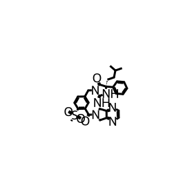 CC(C)CC[C@]1(c2ccccc2)NC(=N)N(Cc2ccc(S(C)(=O)=O)c(C(=O)N3Cc4nccnc4C3)c2)C1=O